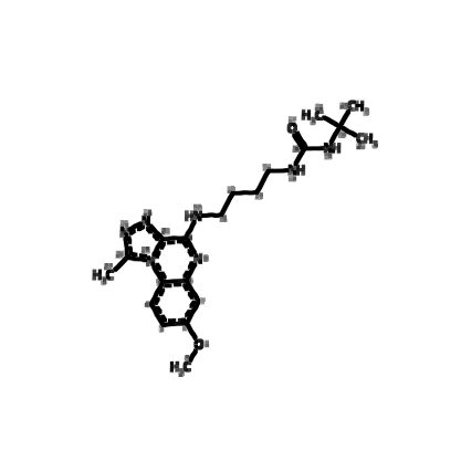 COc1ccc2c(c1)nc(NCCCCNC(=O)NC(C)(C)C)c1nnc(C)n12